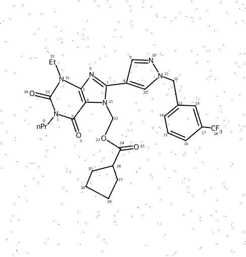 CCCn1c(=O)c2c(nc(-c3cnn(Cc4cccc(C(F)(F)F)c4)c3)n2COC(=O)C2CCCC2)n(CC)c1=O